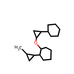 CC1CC1C1CCCCC1OC1CC1C1CCCCC1